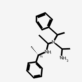 CC(N)N(C(C)N[C@@H](C)c1ccccc1)C(C)c1ccccc1